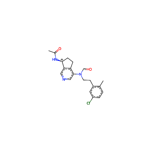 CC(=O)N[C@H]1CCc2c1cncc2N(C=O)CCc1cc(Cl)ccc1C